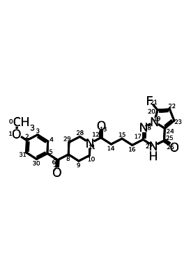 COc1ccc(C(=O)C2CCN(C(=O)CCCc3nn4c(F)ccc4c(=O)[nH]3)CC2)cc1